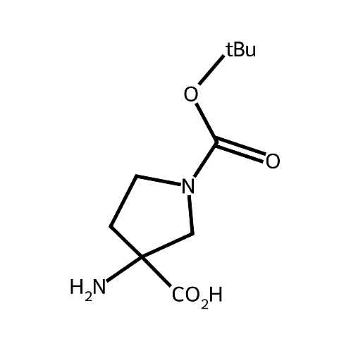 CC(C)(C)OC(=O)N1CCC(N)(C(=O)O)C1